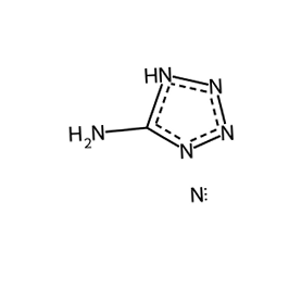 Nc1nnn[nH]1.[N]